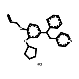 C=CCOc1ccc(C(Cc2ccncc2)c2ccccc2)cc1OC1CCCC1.Cl